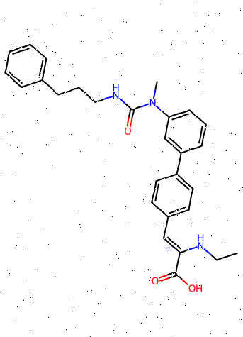 CCN/C(=C\c1ccc(-c2cccc(N(C)C(=O)NCCCc3ccccc3)c2)cc1)C(=O)O